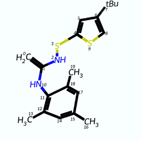 C=C(NSc1cc(C(C)(C)C)cs1)Nc1c(C)cc(C)cc1C